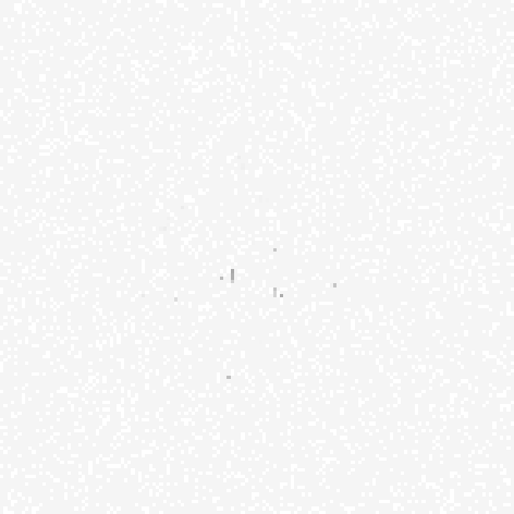 c1ccc(-c2ccc(-c3nc(-c4ccccc4)nc(-c4c5nc(-c6ccc7ccccc7c6)sc5cc5oc6ccccc6c45)n3)cc2)cc1